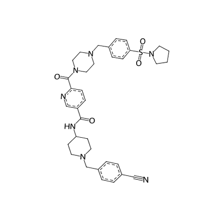 N#Cc1ccc(CN2CCC(NC(=O)c3ccc(C(=O)N4CCN(Cc5ccc(S(=O)(=O)N6CCCC6)cc5)CC4)nc3)CC2)cc1